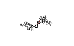 CC(C)(C)OC(=O)N1CCCC1c1ncc(-c2cccc(C34CCC(c5cnc(C6CCCN6C(=O)OC(C)(C)C)[nH]5)(CC3)CC4)c2)[nH]1